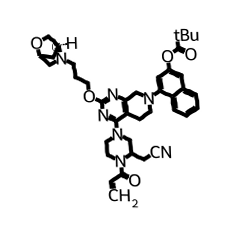 C=CC(=O)N1CCN(c2nc(OCCCN3CC4C[C@H]3CO4)nc3c2CCN(c2cc(OC(=O)C(C)(C)C)cc4ccccc24)C3)CC1CC#N